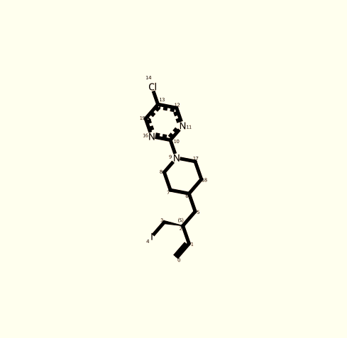 C=C[C@@H](CI)CC1CCN(c2ncc(Cl)cn2)CC1